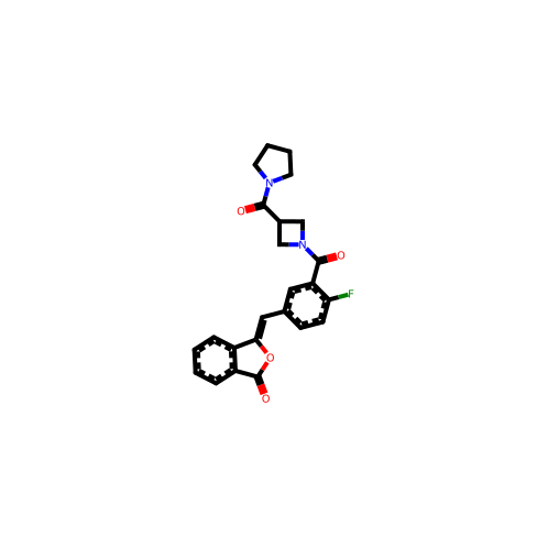 O=C1OC(=Cc2ccc(F)c(C(=O)N3CC(C(=O)N4CCCC4)C3)c2)c2ccccc21